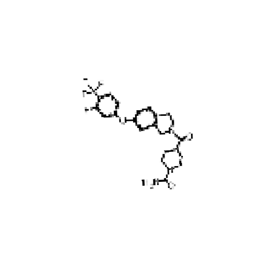 NC(=O)N1CCC(C(=O)N2CCc3ccc(Oc4ccc(C(F)(F)F)c(F)c4)cc3C2)CC1